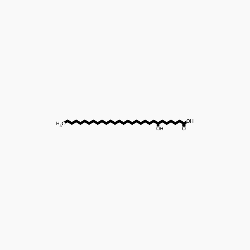 CCCCCCCCCCCCCCCCCCCCCCC(O)CCCCCC(=O)O